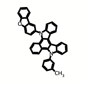 Cc1cccc(-n2c3ccccc3c3c4c5ccccc5n(-c5ccc6oc7ccccc7c6c5)c4c4ccccc4c32)c1